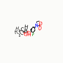 CC(C)(O)BOc1ccc(N2CCOC2=O)cc1F